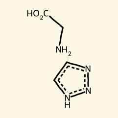 NCC(=O)O.c1c[nH]nn1